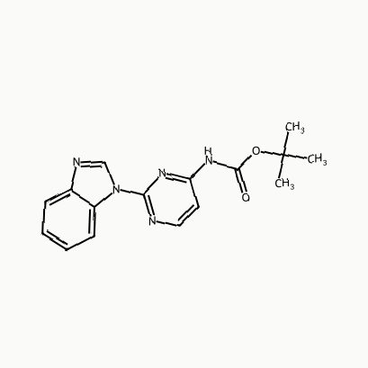 CC(C)(C)OC(=O)Nc1ccnc(-n2cnc3ccccc32)n1